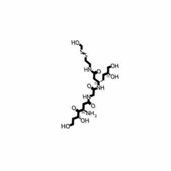 N[C@H](CC(=O)NCC(=O)N[C@@H](CC[C@H](O)CO)CC(=O)NCCSSCO)C(=O)[C@H](O)CCO